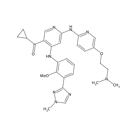 COc1c(Nc2cc(Nc3ccc(OCCN(C)C)cn3)ncc2C(=O)C2CC2)cccc1-c1ncn(C)n1